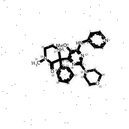 COc1c(Nc2ccncc2)nc(N2CCOCC2)nc1C1(c2ccccc2)NCCN(C)C1=O